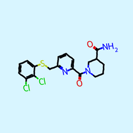 NC(=O)C1CCCN(C(=O)c2cccc(CSc3cccc(Cl)c3Cl)n2)C1